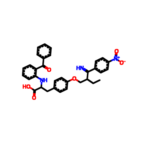 CCC(COc1ccc(CC(Nc2ccccc2C(=O)c2ccccc2)C(=O)O)cc1)C(=N)c1ccc([N+](=O)[O-])cc1